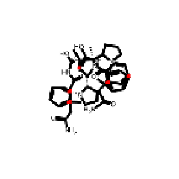 CC1C[C@@H](C2CCCN2[C@@]2(C(=O)NC(=O)O)c3ccc(cc3)C2(C)CC(N)=O)N(c2ccccc2)[C@]1(C)C1CCCN1[C@@]1(C(=O)NC(=O)O)c2ccc(cc2)C1(C)CC(N)=O